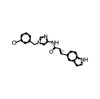 O=C(/C=C/c1ccc2[nH]ccc2c1)Nc1cn(Cc2cccc(Cl)c2)cn1